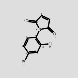 O=C1C=CC(=O)N1c1ccc(Br)cc1Cl